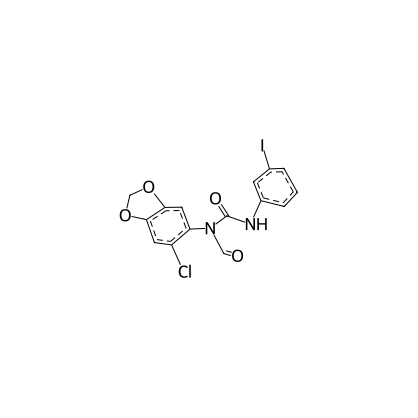 O=CN(C(=O)Nc1cccc(I)c1)c1cc2c(cc1Cl)OCO2